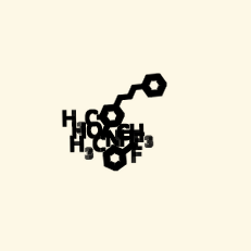 Cc1cc(CCCc2ccccc2)cc(C)c1C(C)(O)Nc1ccccc1C(F)(F)F